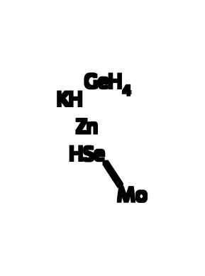 [GeH4].[KH].[SeH][Mo].[Zn]